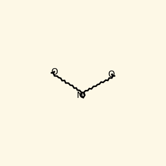 CC(=O)CCCCCCCCCCCCCCc1cccnc1CCCCCCCCCCCCCCC(C)=O